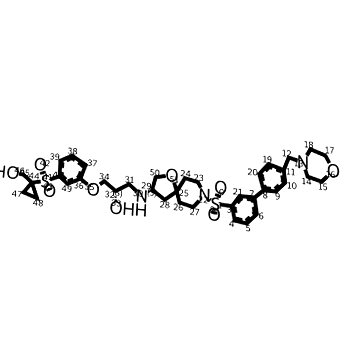 O=S(=O)(c1cccc(-c2ccc(CN3CCOCC3)cc2)c1)N1CCC2(CC1)C[C@H](NC[C@H](O)COc1cccc(S(=O)(=O)C3(CO)CC3)c1)CO2